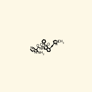 C[C@H](NC(=O)c1c(N)nn2ccncc12)c1cc2cccc(C#Cc3ccn(C)n3)c2c(=O)n1-c1ccccc1